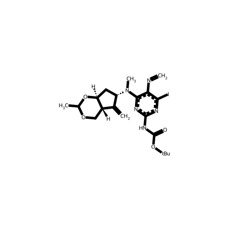 C=Nc1c(I)nc(NC(=O)OC(C)(C)C)nc1N(C)[C@H]1C[C@@H]2OC(C)OC[C@H]2C1=C